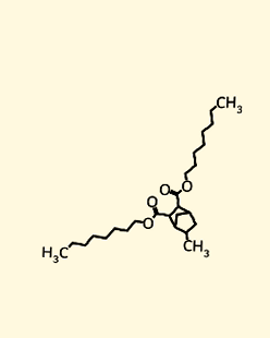 CCCCCCCCOC(=O)C1C2CC(C)C(C2)C1C(=O)OCCCCCCCC